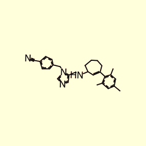 Cc1cc(C)c(C2=CC(NCc3cncn3Cc3ccc(C#N)cc3)CCCC2)c(C)c1